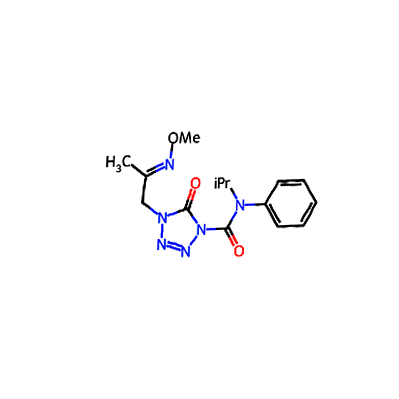 CON=C(C)Cn1nnn(C(=O)N(c2ccccc2)C(C)C)c1=O